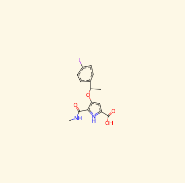 CNC(=O)c1[nH]c(C(=O)O)cc1OC(C)c1ccc(I)cc1